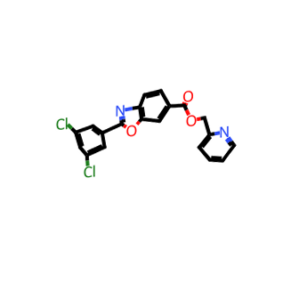 O=C(OCc1ccccn1)c1ccc2nc(-c3cc(Cl)cc(Cl)c3)oc2c1